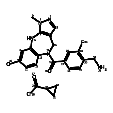 Cn1ncc2c1Nc1cc(Cl)ccc1N(C(=O)c1ccc(CN)c(F)c1)C2.O=C(Cl)C1CC1